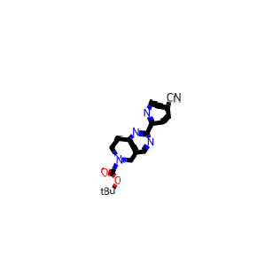 CC(C)(C)OC(=O)N1CCc2nc(-c3ccc(C#N)cn3)ncc2C1